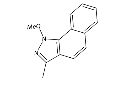 COn1nc(C)c2ccc3ccccc3c21